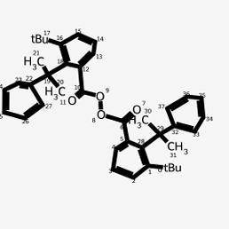 CC(C)(C)c1cccc(C(=O)OOC(=O)c2cccc(C(C)(C)C)c2C(C)(C)c2ccccc2)c1C(C)(C)c1ccccc1